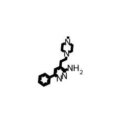 CN1CCN(CCc2cc(-c3ccccc3)nnc2N)CC1